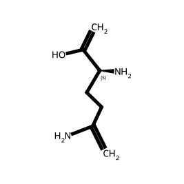 C=C(N)CC[C@H](N)C(=C)O